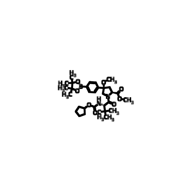 COC(=O)[C@@H]1C[C@@](OC)(c2ccc(B3OC(C)(C)C(C)(C)O3)cc2)CN1C(=O)[C@@H](NC(=O)OC1CCCC1)C(C)(C)C